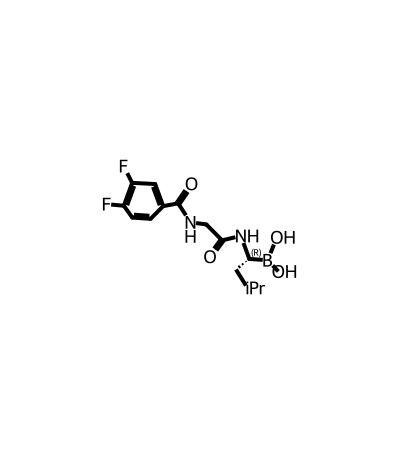 CC(C)C[C@H](NC(=O)CNC(=O)c1ccc(F)c(F)c1)B(O)O